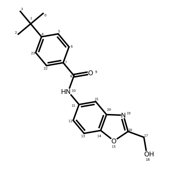 CC(C)(C)c1ccc(C(=O)Nc2ccc3oc(CO)nc3c2)cc1